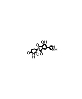 O=C1CCC(N2C(=O)c3cc(-c4cn[nH]c4)cc(O)c3C2=O)C(=O)N1